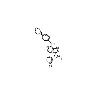 Cc1cnc2c(Nc3ccc(N4CCOCC4)cc3)ncc(C3=CCNC=C3)n12